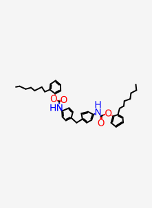 CCCCCCCc1ccccc1OC(=O)Nc1ccc(Cc2ccc(NC(=O)Oc3ccccc3CCCCCCC)cc2)cc1